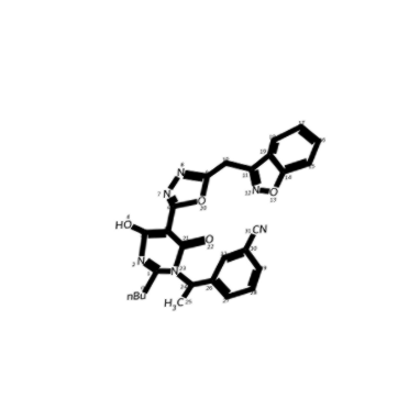 CCCCc1nc(O)c(-c2nnc(Cc3noc4ccccc34)o2)c(=O)n1C(C)c1cccc(C#N)c1